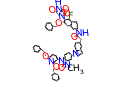 Cn1c(=O)n(-c2ccc(OCc3ccccc3)nc2OCc2ccccc2)c2ccc(-n3ccc4cc(CC(=O)Nc5ccc6c(F)c(N7CC(=O)NS7(=O)=O)c(OCc7ccccc7)cc6c5)ccc43)cc21